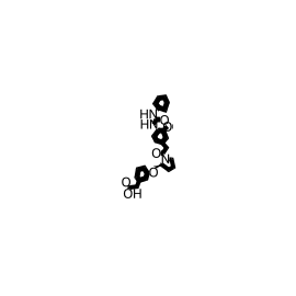 COc1cc(CC(=O)N2CCC[C@H]2COc2cccc(CC(=O)O)c2)ccc1NC(=O)Nc1ccccc1